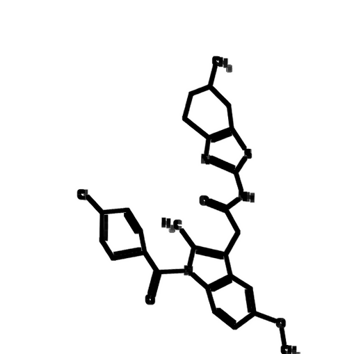 COc1ccc2c(c1)c(CC(=O)Nc1nc3c(s1)CC(C)CC3)c(C)n2C(=O)c1ccc(Cl)cc1